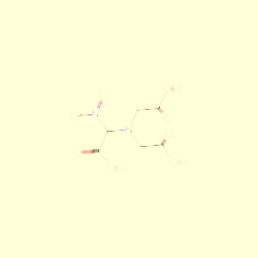 O=C(O)CN(CC(=O)O)C(C(=O)O)[N+](=O)[O-]